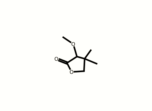 COC1C(=O)OCC1(C)C